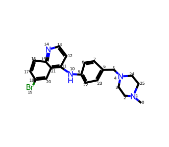 CN1CCN(Cc2ccc(Nc3[c]cnc4ccc(Br)cc34)cc2)CC1